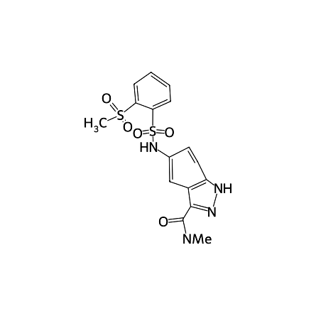 CNC(=O)c1n[nH]c2ccc(NS(=O)(=O)c3ccccc3S(C)(=O)=O)cc12